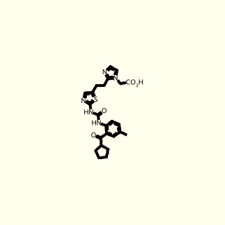 Cc1ccc(NC(=O)Nc2ncc(CCc3nccn3CC(=O)O)s2)c(C(=O)C2CCCC2)c1